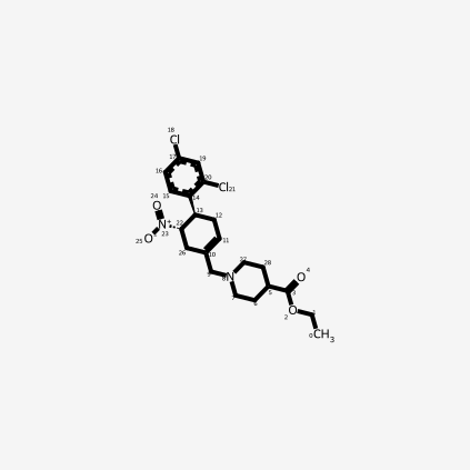 CCOC(=O)C1CCN(CC2=CC[C@H](c3ccc(Cl)cc3Cl)[C@@H]([N+](=O)[O-])C2)CC1